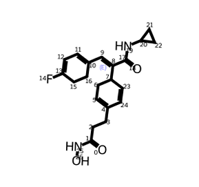 O=C(CCC1=CCC(/C(=C\C2=CC=C(F)CC2)C(=O)NC2CC2)C=C1)NO